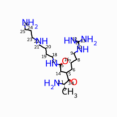 C[C@H](N)C(=O)C(CCCCNC(=N)N)CC(=O)NCCCCNCCCN